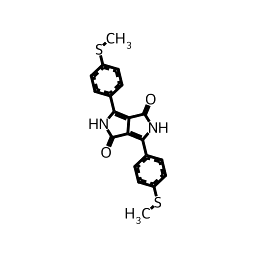 CSc1ccc(C2=C3C(=O)NC(c4ccc(SC)cc4)=C3C(=O)N2)cc1